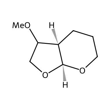 COC1CO[C@@H]2OCCC[C@H]12